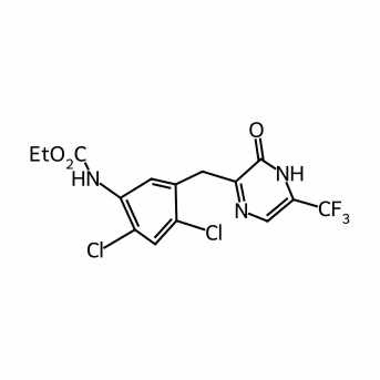 CCOC(=O)Nc1cc(Cc2ncc(C(F)(F)F)[nH]c2=O)c(Cl)cc1Cl